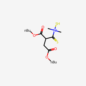 CCCCOC(=O)CC(C(=O)OCCCC)C(=S)[N+](C)(C)S